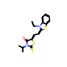 CCN1C(=CC=C2SC(=S)N(C(C)C)C2=O)Sc2ccccc21